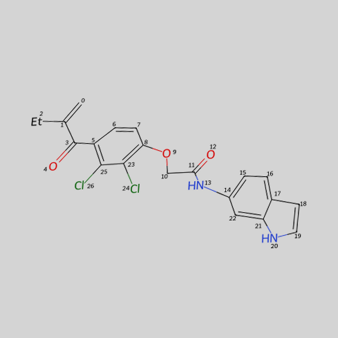 C=C(CC)C(=O)c1ccc(OCC(=O)Nc2ccc3cc[nH]c3c2)c(Cl)c1Cl